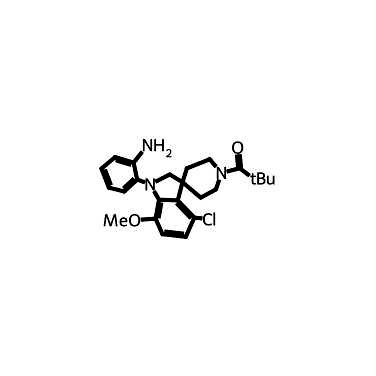 COc1ccc(Cl)c2c1N(c1ccccc1N)CC21CCN(C(=O)C(C)(C)C)CC1